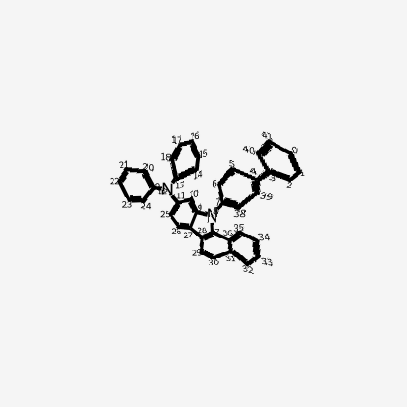 c1ccc(-c2ccc(-n3c4cc(N(c5ccccc5)c5ccccc5)ccc4c4ccc5ccccc5c43)cc2)cc1